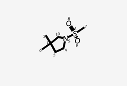 CC1(C)CCN(S(C)(=O)=O)C1